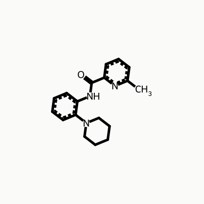 Cc1cccc(C(=O)Nc2ccccc2N2CCCCC2)n1